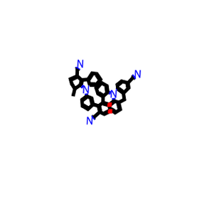 CC1CC=C(C#N)c2c1n(-c1cccc(-c3c(C#N)cccc3-c3ccccc3N3c4ccccc4Cc4cc(C#N)ccc43)c1)c1ccccc21